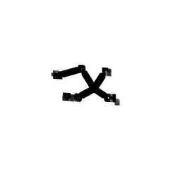 C[CH]OC(C)(CC)OC